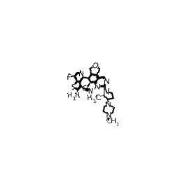 C[C@H]1[C@H](N2CCN(C)CC2)CCN1c1ncc2c3c(c(-c4ncc(F)c5sc(N)c(C#N)c45)c(Cl)c2n1)COC3